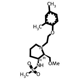 COC[C@H]1[C@@H](NS(C)(=O)=O)CCCN1CCOc1ccc(C)cc1C